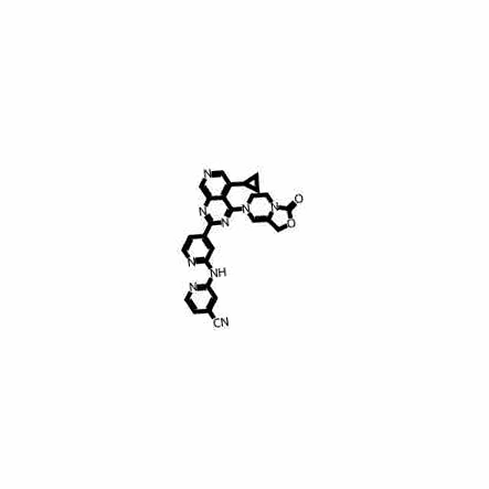 N#Cc1ccnc(Nc2cc(-c3nc(N4C=C5COC(=O)N5CC4)c4c(C5CC5)cncc4n3)ccn2)c1